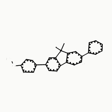 CC(C)Oc1ccc(-c2ccc3c(c2)C(C)(C)c2cc(-c4ccccc4)ccc2-3)cc1